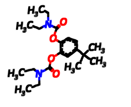 CCN(CC)C(=O)Oc1ccc(C(C)(C)C)cc1OC(=O)N(CC)CC